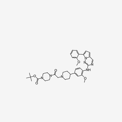 COc1cc(C2CCN(CC(=O)N3CCN(C(=O)OC(C)(C)C)CC3)CC2)ccc1Nc1ncc2ccc(-c3ccccc3OC)n2n1